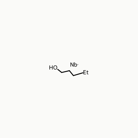 CCCCCO.[Nb]